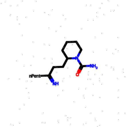 CCCCCC(=N)CCC1CCCCN1C(N)=O